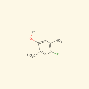 CCOc1cc([N+](=O)[O-])c(F)cc1C(=O)O